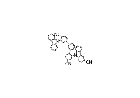 N#Cc1ccc(-c2cccc(-c3ccc(C#N)c(-n4c5ccccc5c5ccccc54)c3)c2)c(-n2c3ccccc3c3cc(C#N)ccc32)c1